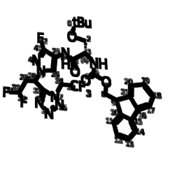 CC(C)(C)OC[C@H](NC(=O)OCC1c2ccccc2-c2ccccc21)C(=O)Nc1cn(C(CC(F)F)c2nnnn2CC(F)(F)F)nc1F